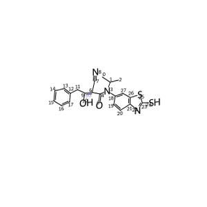 CC(C)N(C(=O)/C(C#N)=C(\O)Cc1ccccc1)c1ccc2nc(S)sc2c1